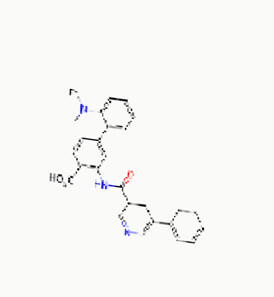 CCN(C)c1ccccc1-c1ccc(C(=O)O)c(NC(=O)c2cncc(-c3ccccc3)c2)c1